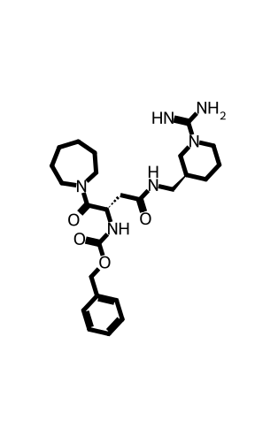 N=C(N)N1CCC[C@@H](CNC(=O)C[C@H](NC(=O)OCc2ccccc2)C(=O)N2CCCCCC2)C1